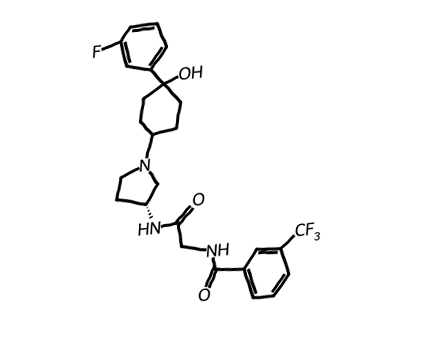 O=C(CNC(=O)c1cccc(C(F)(F)F)c1)N[C@@H]1CCN(C2CCC(O)(c3cccc(F)c3)CC2)C1